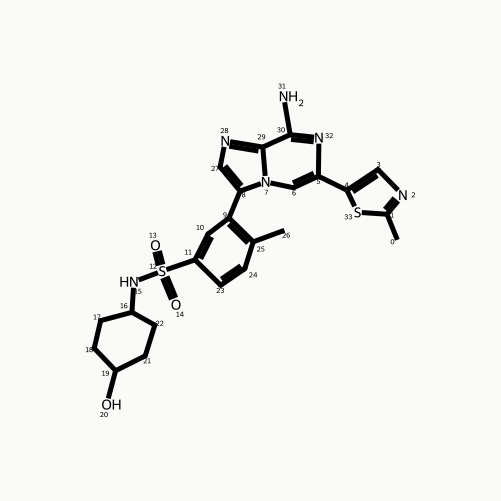 Cc1ncc(-c2cn3c(-c4cc(S(=O)(=O)NC5CCC(O)CC5)ccc4C)cnc3c(N)n2)s1